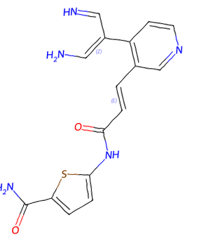 N=C/C(=C\N)c1ccncc1/C=C/C(=O)Nc1ccc(C(N)=O)s1